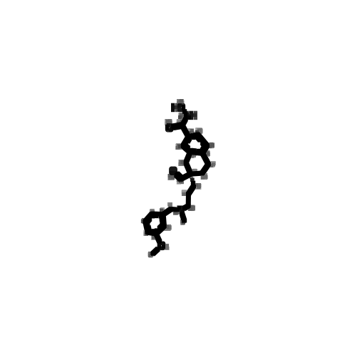 COc1cccc(CN(C)CCC[C@@]2(C=O)CCc3ccc(C(=O)NO)cc3C2)c1